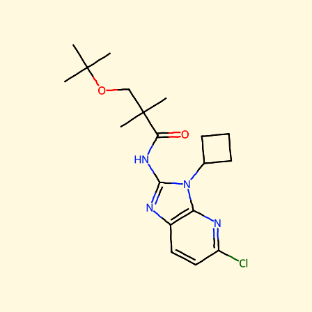 CC(C)(C)OCC(C)(C)C(=O)Nc1nc2ccc(Cl)nc2n1C1CCC1